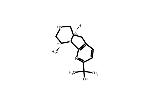 C[C@@H]1CNC[C@H]2Cc3ccc(C(C)(C)O)nc3N21